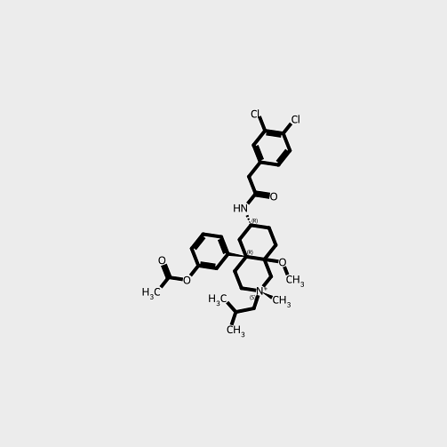 COC12CC[C@@H](NC(=O)Cc3ccc(Cl)c(Cl)c3)C[C@@]1(c1cccc(OC(C)=O)c1)CC[N@@+](C)(CC(C)C)C2